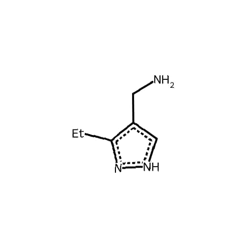 CCc1n[nH]cc1CN